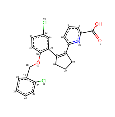 O=C(O)c1cccc(C2=C(c3cc(Cl)ccc3OCc3ccccc3Cl)CCC2)n1